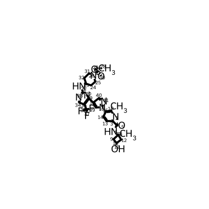 Cc1nc(C(=O)N[C@]2(C)C[C@H](O)C2)ccc1-n1cc(-c2nc(NC3CCN(S(C)(=O)=O)CC3)ncc2C(F)(F)F)cn1